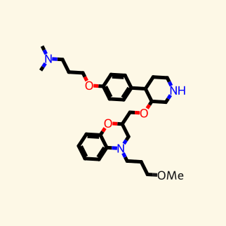 COCCCN1CC(COC2CNCCC2c2ccc(OCCCN(C)C)cc2)Oc2ccccc21